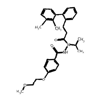 COCCOc1ccc(C(=O)NN(C(=O)CCc2ccccc2-c2cccc(C)c2C)C(C)C)cc1